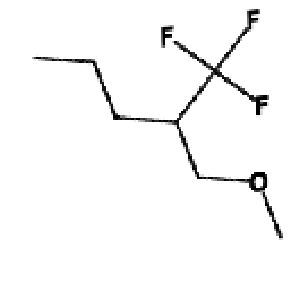 CCCC(COC)C(F)(F)F